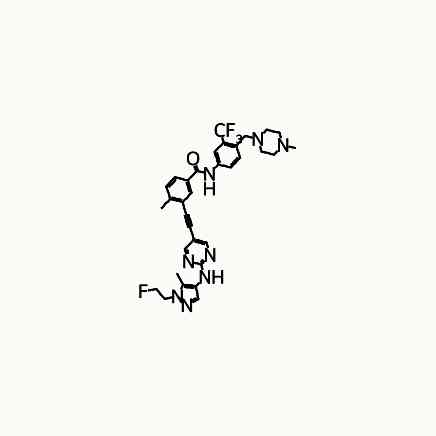 Cc1ccc(C(=O)Nc2ccc(CN3CCN(C)CC3)c(C(F)(F)F)c2)cc1C#Cc1cnc(Nc2cnn(CCF)c2C)nc1